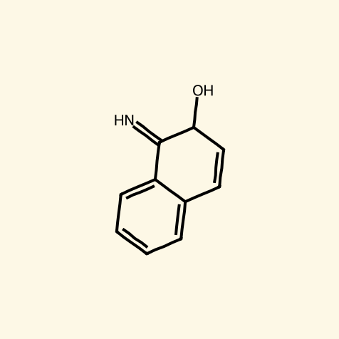 N=C1c2ccccc2C=CC1O